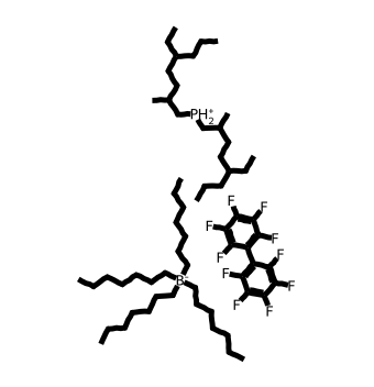 CCCC(CC)CCC(C)C[PH2+]CC(C)CCC(CC)CCC.CCCCCCC[B-](CCCCCCC)(CCCCCCC)CCCCCCC.Fc1c(F)c(F)c(-c2c(F)c(F)c(F)c(F)c2F)c(F)c1F